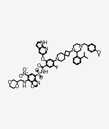 COc1ccc(CN2CCN(C3CC4(CCN(c5cc(Oc6cnc7[nH]ccc7c6)c(C(=O)NS(=O)(=O)c6cc([N+](=O)[O-])c(NCC7COCCO7)c7ocnc67)cc5F)CC4)C3)C(c3ccccc3C(C)C)C2)cc1